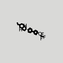 CCC1CC[C@@H]2C[C@H](c3ccc(-c4ccc(OCC(F)(F)F)cc4)cc3)CC[C@@H]2C1